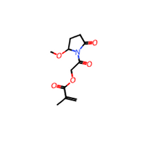 C=C(C)C(=O)OCC(=O)N1C(=O)CCC1OC